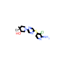 CC[C@@]1(C)CCN(c2cnc(Sc3ccnc(N)c3Cl)cn2)C[C@H]1O